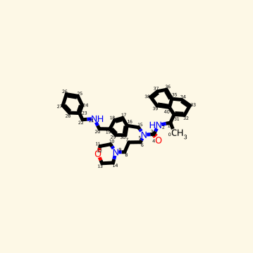 CC(NC(=O)N(CCCN1CCOCC1)Cc1ccc(CNCc2ccccc2)cc1)c1cccc2ccccc12